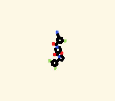 N#Cc1cc(F)cc(C(=O)N2CCC3(CC2)OC2CCC(c4cc(F)cc(F)c4)N2C3=O)c1